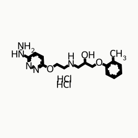 Cc1ccccc1OCC(O)CNCCOc1ccc(NN)nn1.Cl.Cl